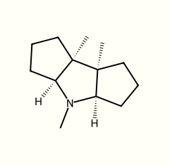 CN1[C@H]2CCC[C@@]2(C)[C@@]2(C)CCC[C@@H]12